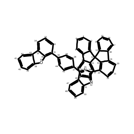 c1ccc2c(c1)-c1ccccc1C21c2ccccc2-c2cccc(-c3nc(-c4ccc(-c5cccc6c5oc5ccccc56)cc4)c4ccccc4n3)c21